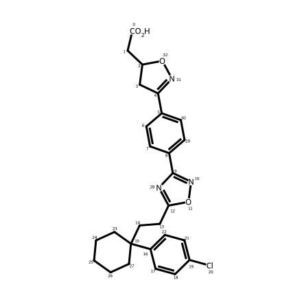 O=C(O)CC1CC(c2ccc(-c3noc(CCC4(c5ccc(Cl)cc5)CCCCC4)n3)cc2)=NO1